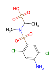 CC(N(C)S(=O)(=O)c1cc(Cl)c(N)cc1Cl)S(=O)(=O)O